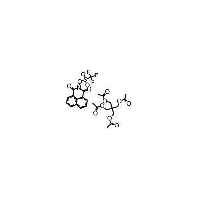 CC(=O)OCC(COC(C)=O)(COC(C)=O)COC(C)=O.O=C1c2cccc3cccc(c23)C(=O)N1OS(=O)(=O)C(F)(F)F